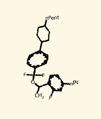 CCCCCC1CCC(c2ccc(C(F)(F)OC(C)c3ccc(CCC)cc3F)cc2)CC1